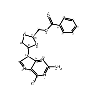 Nc1nc(Cl)c2ncn([C@H]3CO[C@@H](COC(=O)c4ccccc4)O3)c2n1